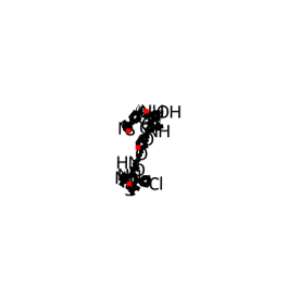 Cc1ncsc1-c1ccc([C@H](C)NC(=O)[C@@H]2C[C@@H](O)CN2C(=O)C(NC(=O)c2cc3ccc(OCCNC(=O)C[C@@H]4N=C(c5ccc(Cl)cc5)c5c(sc(C)c5C)-n5c(C)nnc54)cc3o2)C(C)(C)C)cc1